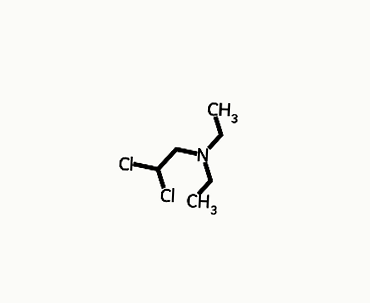 CCN(CC)CC(Cl)Cl